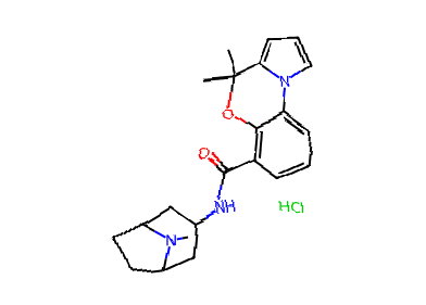 CN1C2CCC1CC(NC(=O)c1cccc3c1OC(C)(C)c1cccn1-3)C2.Cl